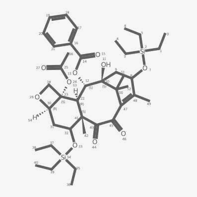 CC[Si](CC)(CC)OC1C[C@@]2(O)[C@@H](OC(=O)c3ccccc3)[C@@H]3[C@]4(OC(C)=O)CO[C@@H]4CC(O[Si](CC)(CC)CC)[C@@]3(C)C(=O)C(=O)C(=C1C)C2(C)C